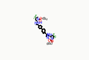 CC(C)(C)OC(=O)N1CC(F)(F)C[C@H]1c1ncc(-c2ccc(-c3ccc(-c4cnc([C@@H]5CC(F)(F)CN5C(=O)OC(C)(C)C)[nH]4)cc3)cc2)[nH]1